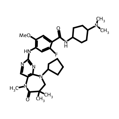 COc1cc(C(=O)NC2CCC(N(C)C)CC2)c(F)cc1Nc1ncc2c(n1)N(C1CCCC1)CC(C)(C)C(=O)N2C